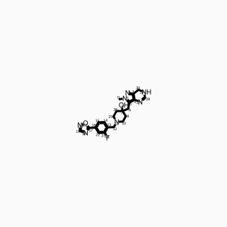 Cn1nc2c(c1CC1(O)CCN(Cc3ccc(-c4ncno4)cc3F)CC1)N=CNC2